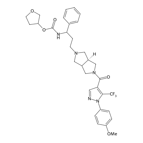 COc1ccc(-n2ncc(C(=O)N3CC4CN(CCC(NC(=O)OC5CCOC5)c5ccccc5)C[C@H]4C3)c2C(F)(F)F)cc1